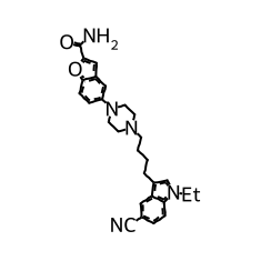 CCn1cc(CCCCN2CCN(c3ccc4oc(C(N)=O)cc4c3)CC2)c2cc(C#N)ccc21